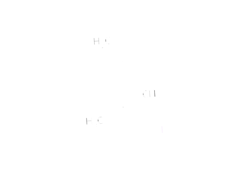 C=CCC(C)(C)CI